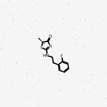 C[C@@H]1SC(NCCc2ccccc2F)=NC1=O